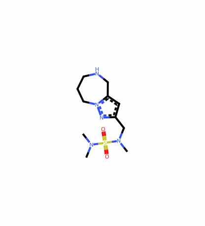 CN(C)S(=O)(=O)N(C)Cc1cc2n(n1)CCCNC2